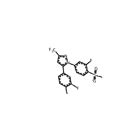 Cc1ccc(-c2cc(C(F)(F)F)nn2-c2ccc(S(C)(=O)=O)c(F)c2)cc1F